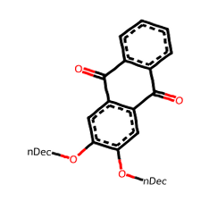 CCCCCCCCCCOc1cc2c(cc1OCCCCCCCCCC)C(=O)c1ccccc1C2=O